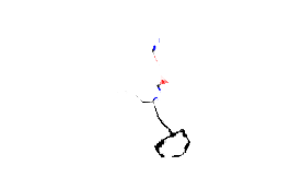 CC(C)(C)C/C(=N\COC=N)c1ccccc1